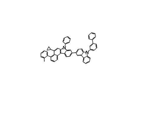 Cc1ccccc1-c1cccc2c1c(C1CC1)cc1c2c2ccc(-c3ccc4c(c3)c3ccccc3n4-c3cccc(-c4ccccc4)c3)cc2n1-c1ccccc1